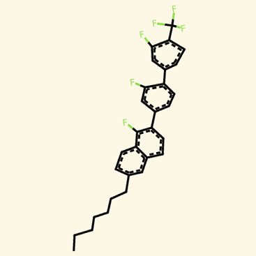 CCCCCCCc1ccc2c(F)c(-c3ccc(-c4ccc(C(F)(F)F)c(F)c4)c(F)c3)ccc2c1